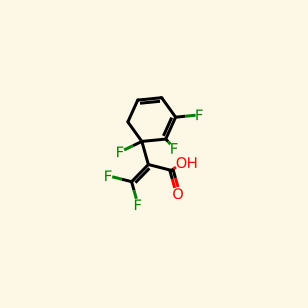 O=C(O)C(=C(F)F)C1(F)CC=CC(F)=C1F